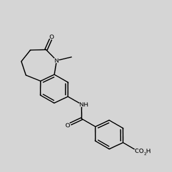 CN1C(=O)CCCc2ccc(NC(=O)c3ccc(C(=O)O)cc3)cc21